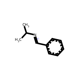 CC(C)/N=C/c1ccccc1